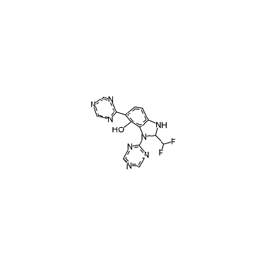 Oc1c(-c2ncncn2)ccc2c1N(c1ncncn1)C(C(F)F)N2